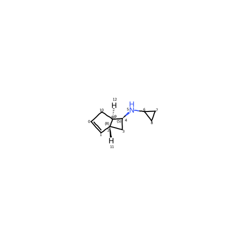 C1=C[C@H]2C[C@H](NC3CC3)[C@@H]2C1